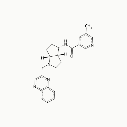 Cc1cncc(C(=O)N[C@H]2CC[C@@H]3[C@H]2CCN3Cc2cnc3ccccc3n2)c1